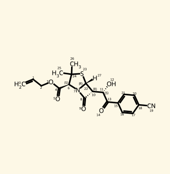 C=CCOC(=O)[C@@H]1N2C(=O)[C@@H]([C@H](O)C(=O)c3ccc(C#N)cc3)[C@H]2SC1(C)C